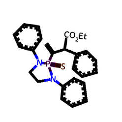 C=C(C(C(=O)OCC)c1ccccc1)P1(=S)N(c2ccccc2)CCN1c1ccccc1